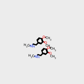 CNCCc1ccc(OC)c(OC)c1.CNCCc1ccc(OC)c(OC)c1